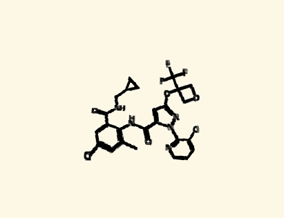 Cc1cc(Cl)cc(C(=O)NCC2CC2)c1NC(=O)c1cc(OC2(C(F)(F)F)COC2)nn1-c1ncccc1Cl